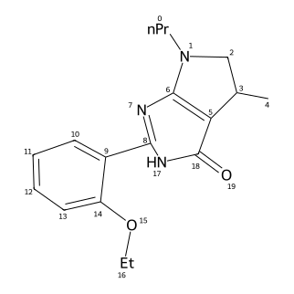 CCCN1CC(C)c2c1nc(-c1ccccc1OCC)[nH]c2=O